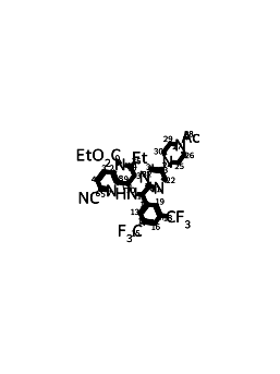 CCOC(=O)N1c2ccc(C#N)nc2[C@@H](NC(c2cc(C(F)(F)F)cc(C(F)(F)F)c2)c2ncc(N3CCN(C(C)=O)CC3)cn2)C[C@H]1CC